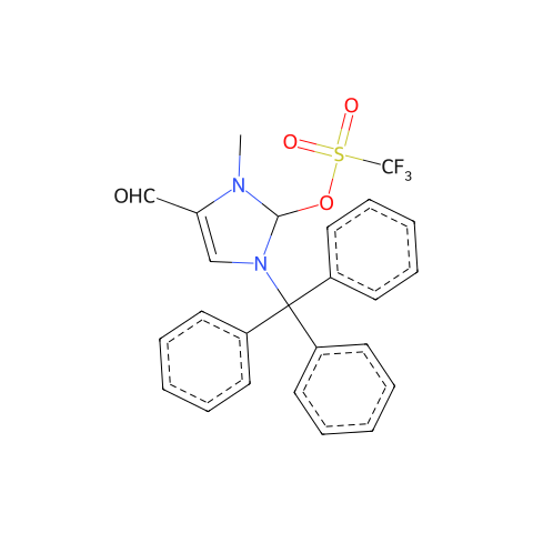 CN1C(C=O)=CN(C(c2ccccc2)(c2ccccc2)c2ccccc2)C1OS(=O)(=O)C(F)(F)F